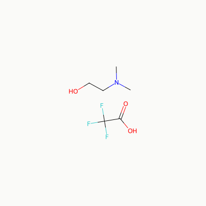 CN(C)CCO.O=C(O)C(F)(F)F